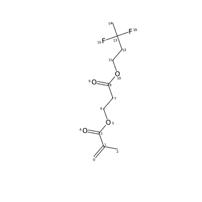 C=C(C)C(=O)OCCC(=O)OCCC(C)(F)F